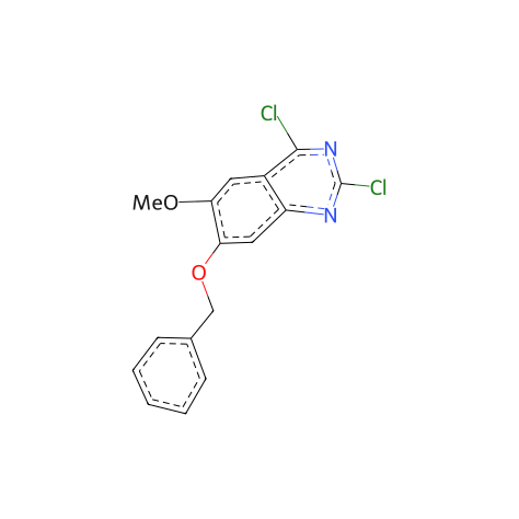 COc1cc2c(Cl)nc(Cl)nc2cc1OCc1ccccc1